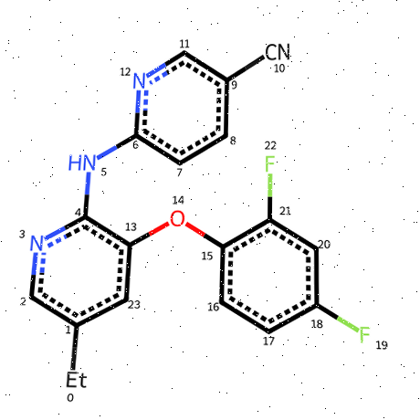 CCc1cnc(Nc2ccc(C#N)cn2)c(Oc2ccc(F)cc2F)c1